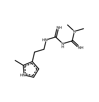 Cc1[nH]ccc1CCNC(=N)NC(=N)N(C)C